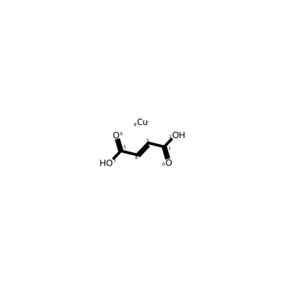 O=C(O)C=CC(=O)O.[Cu]